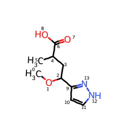 COC(CC(C)C(=O)O)c1cc[nH]n1